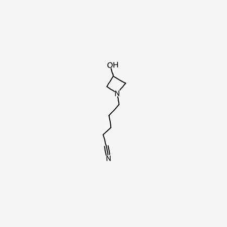 N#CCCCCN1CC(O)C1